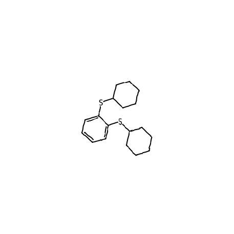 c1ccc(SC2CCCCC2)c(SC2CCCCC2)c1